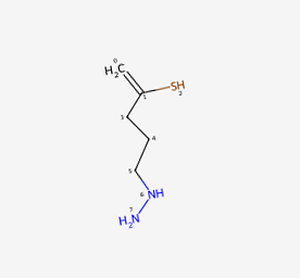 C=C(S)CCCNN